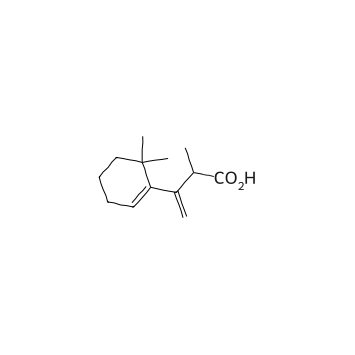 C=C(C1=CCCCC1(C)C)C(C)C(=O)O